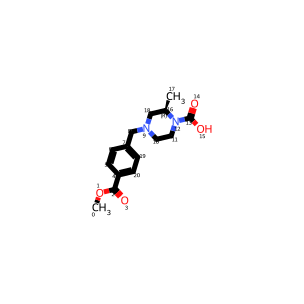 COC(=O)c1ccc(CN2CCN(C(=O)O)[C@H](C)C2)cc1